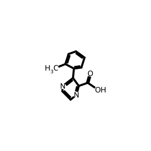 Cc1ccccc1-c1nccnc1C(=O)O